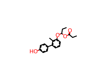 CCC(=O)OC(CC)Oc1cccc(-c2ccc(O)cc2)c1C